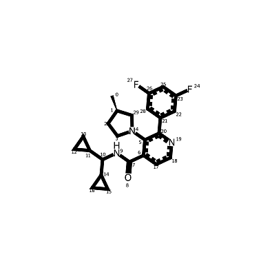 C[C@@H]1CCN(c2c(C(=O)NC(C3CC3)C3CC3)ccnc2-c2cc(F)cc(F)c2)C1